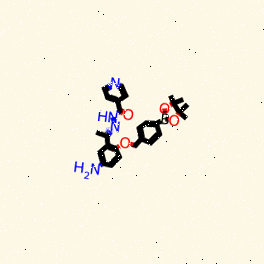 C/C(=N\NC(=O)c1ccncc1)c1cc(N)ccc1OCc1ccc(B2OC(C)(C)C(C)(C)O2)cc1